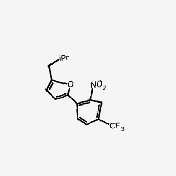 CC(C)Cc1ccc(-c2ccc(C(F)(F)F)cc2[N+](=O)[O-])o1